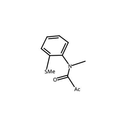 CSc1ccccc1N(C)C(=O)C(C)=O